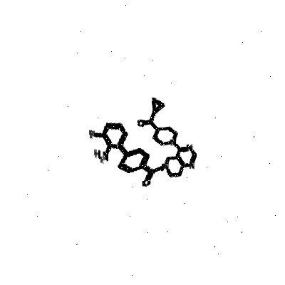 Nc1c(F)cccc1-c1ccc(C(=O)N2CCc3ncnc(N4CCC(C(=O)C5CC5)CC4)c3C2)cc1